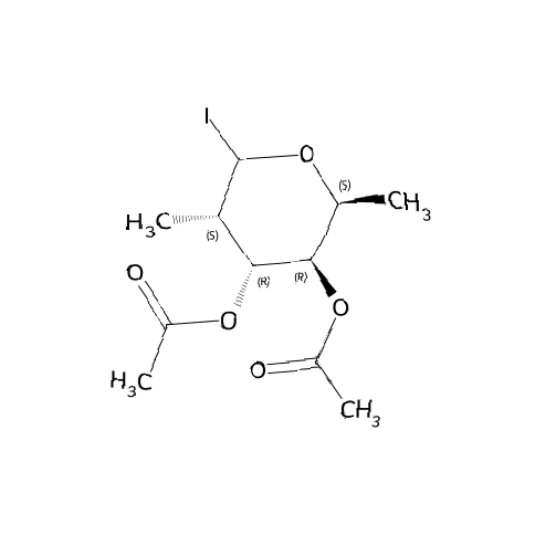 CC(=O)O[C@H]1[C@H](OC(C)=O)[C@H](C)C(I)O[C@H]1C